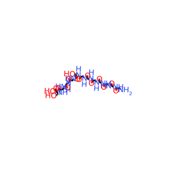 NCC(=O)NCC(=O)NCC(=O)NCC(=O)NCC(=O)NCC(=O)NCC(=O)N[C@@H](CO)C(=O)NCC(=O)NCC(=O)NCC(=O)N[C@@H](CO)C(=O)O